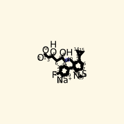 O=C([O-])C[C@H](O)C[C@H](O)/C=C/c1c(C2CC2)cc2scnc2c1-c1ccc(F)cc1.[Na+]